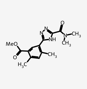 COC(=O)c1cc(-c2nnc(C(=O)N(C)C)[nH]2)c(C)cc1C